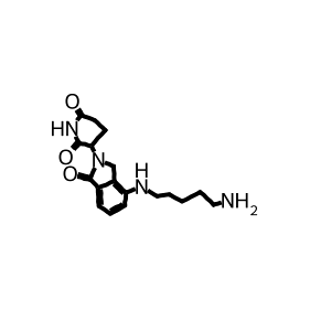 NCCCCCNc1cccc2c1CN(C1CCC(=O)NC1=O)C2=O